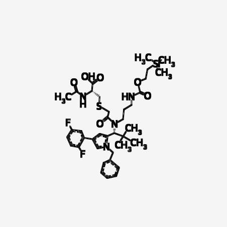 CC(=O)N[C@@H](CSCC(=O)N(CCCNC(=O)OCC[Si](C)(C)C)[C@@H](c1cc(-c2cc(F)ccc2F)cn1Cc1ccccc1)C(C)(C)C)C(=O)O